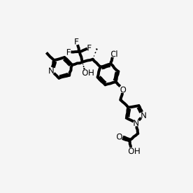 Cc1cc([C@](O)([C@H](C)c2ccc(OCc3cnn(CC(=O)O)c3)cc2Cl)C(F)(F)F)ccn1